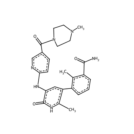 Cc1[nH]c(=O)c(Nc2ccc(C(=O)N3CCN(C)CC3)cn2)cc1-c1cccc(C(N)=O)c1C